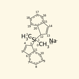 C[Si](C)(C1C=Cc2ccccc21)C1C=Cc2ccccc21.[Na]